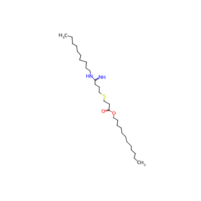 CCCCCCCCCCCCOC(=O)CCSCCCC(=N)NCCCCCCCCCC